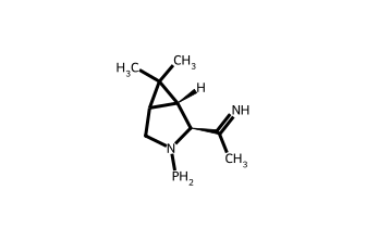 CC(=N)[C@@H]1[C@@H]2C(CN1P)C2(C)C